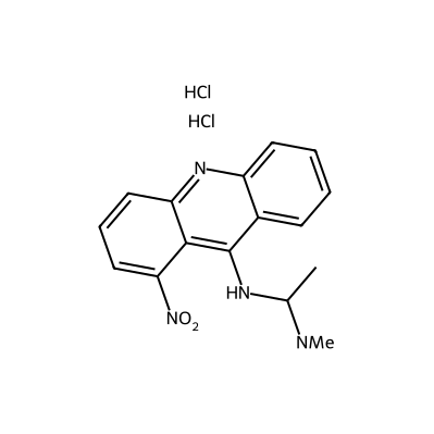 CNC(C)Nc1c2ccccc2nc2cccc([N+](=O)[O-])c12.Cl.Cl